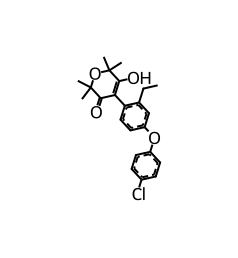 CCc1cc(Oc2ccc(Cl)cc2)ccc1C1=C(O)C(C)(C)OC(C)(C)C1=O